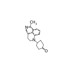 Cc1ncc2c3c(cccc13)N(C1CCC(=O)CC1)CC2